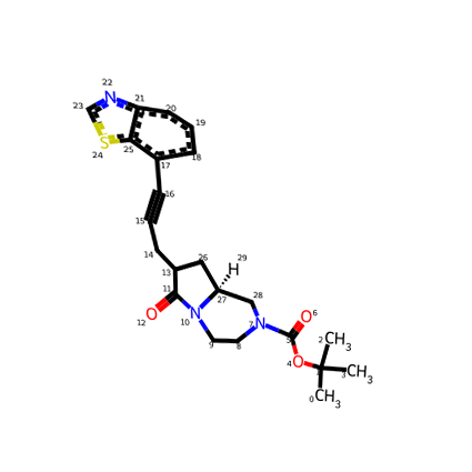 CC(C)(C)OC(=O)N1CCN2C(=O)C(CC#Cc3cccc4ncsc34)C[C@H]2C1